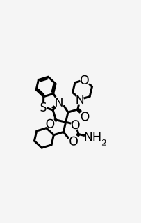 CC(C(=O)N1CCOCC1)C(OC(N)=O)(C(=O)c1nc2ccccc2s1)C(C)C1CCCCC1